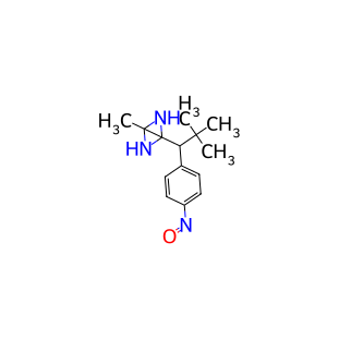 CC(C)(C)C(c1ccc(N=O)cc1)C12NC1(C)N2